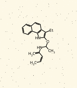 C=C(/C=C\C)NC(C)Oc1[nH]c2c(ccc3ccccc32)c1CC